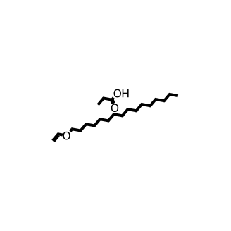 C=COCCCCCCCCCCCCCCCC.CCC(=O)O